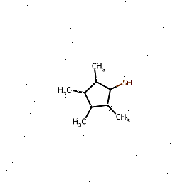 CC1C(C)C(C)C(S)C1C